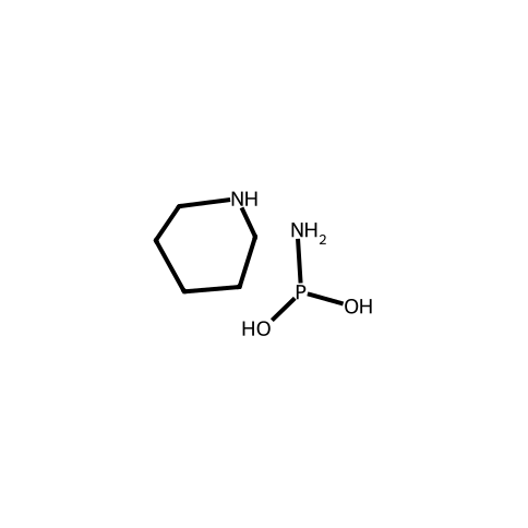 C1CCNCC1.NP(O)O